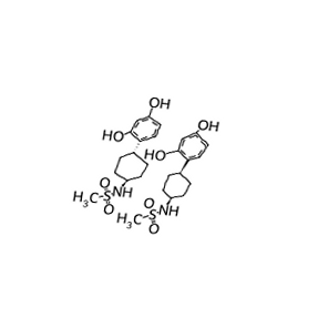 CS(=O)(=O)N[C@H]1CC[C@@H](c2ccc(O)cc2O)CC1.CS(=O)(=O)N[C@H]1CC[C@H](c2ccc(O)cc2O)CC1